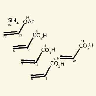 C=CC(=O)O.C=CC(=O)O.C=CC(=O)O.C=CC(=O)O.C=COC(C)=O.[SiH4]